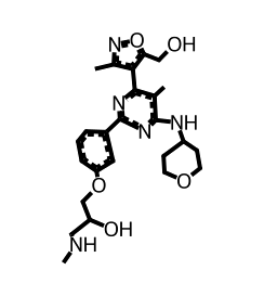 CNCC(O)COc1cccc(-c2nc(NC3CCOCC3)c(C)c(-c3c(C)noc3CO)n2)c1